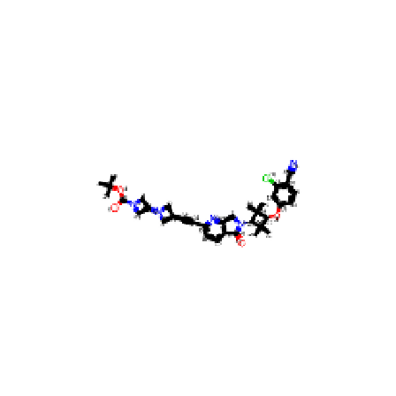 CC(C)(C)OC(=O)N1CC(N2CC(C#Cc3ccc4c(n3)CN([C@H]3C(C)(C)[C@H](Oc5ccc(C#N)c(Cl)c5)C3(C)C)C4=O)C2)C1